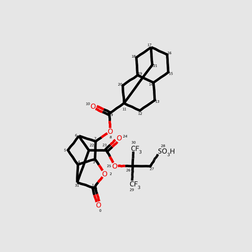 O=C1OC2C3CC(C2OC(=O)C24CCC5CCC(CC5C2)C4)C(C(=O)OC(CS(=O)(=O)O)(C(F)(F)F)C(F)(F)F)C13